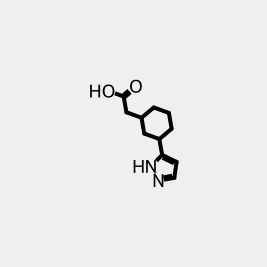 O=C(O)CC1CCCC(c2ccn[nH]2)C1